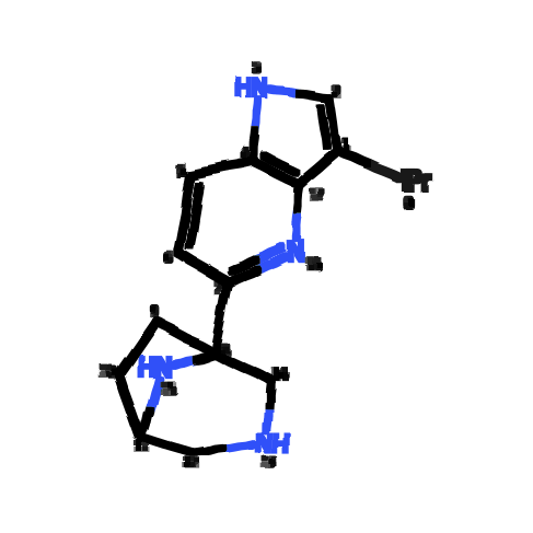 CC(C)c1c[nH]c2ccc(C34CCC(CNC3)N4)nc12